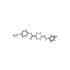 Cc1ccc(CC(=O)N2CCC(OCc3c[nH]cn3)CC2)cc1